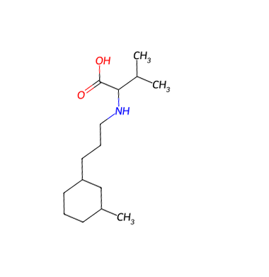 CC1CCCC(CCCNC(C(=O)O)C(C)C)C1